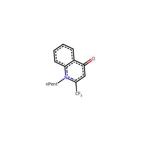 CCCCCn1c(C(F)(F)F)cc(=O)c2ccccc21